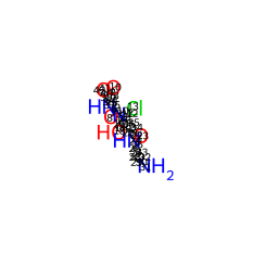 COc1cc2cc(C(=O)N3CC(CCl)c4c3cc(O)c3cc(C(=O)NCCc5ccc(N)cc5)ccc43)[nH]c2cc1OC